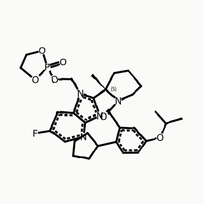 CC(C)Oc1ccc(C2CCCC2)c(C(=O)N2CCCC[C@@]2(C)c2nc3ncc(F)cc3n2COP2(=O)OCCO2)c1